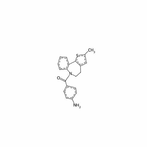 Cc1cc2c(s1)-c1ccccc1N(C(=O)c1ccc(N)cc1)CC2